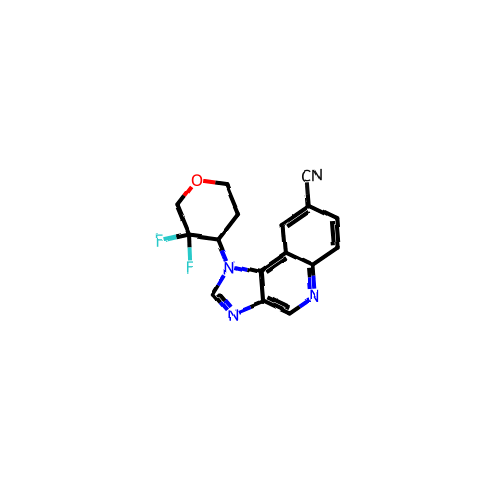 N#Cc1ccc2ncc3ncn(C4CCOCC4(F)F)c3c2c1